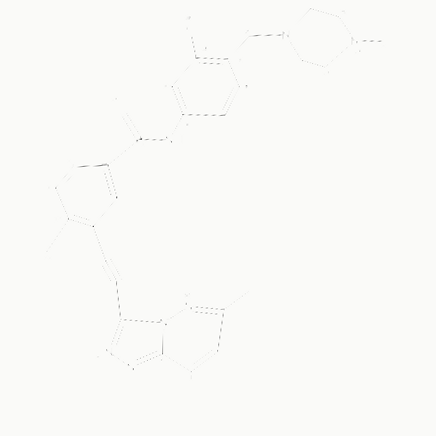 Cc1ccc2nnc(C#Cc3cc(C(=O)Nc4ccc(CN5CCN(C)CC5)c(C(F)(F)F)c4)ccc3C)n2n1